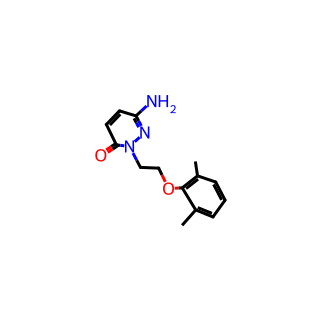 Cc1cccc(C)c1OCCn1nc(N)ccc1=O